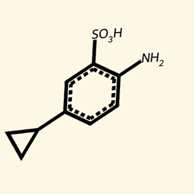 Nc1ccc(C2CC2)cc1S(=O)(=O)O